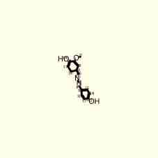 COC1=CC(/C=N/N=C/c2ccc(O)cc2)CC=C1O